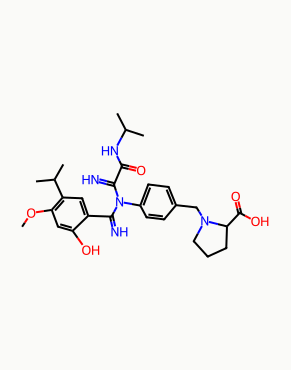 COc1cc(O)c(C(=N)N(C(=N)C(=O)NC(C)C)c2ccc(CN3CCCC3C(=O)O)cc2)cc1C(C)C